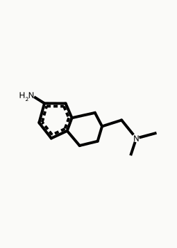 CN(C)CC1CCc2ccc(N)cc2C1